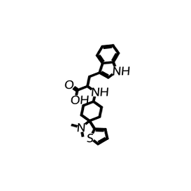 CN(C)C1(c2cccs2)CCC(NC(Cc2c[nH]c3ccccc23)C(=O)O)CC1